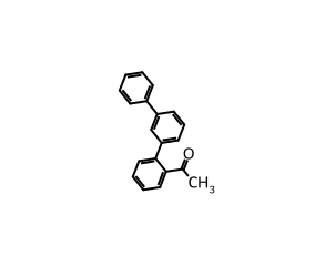 CC(=O)c1ccccc1-c1cccc(-c2ccccc2)c1